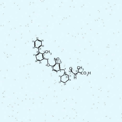 Cc1c(COc2ccc(CN3CCCC[C@H]3C(=O)NC(C)C(=O)O)cc2[N+](=O)[O-])cccc1-c1ccccc1